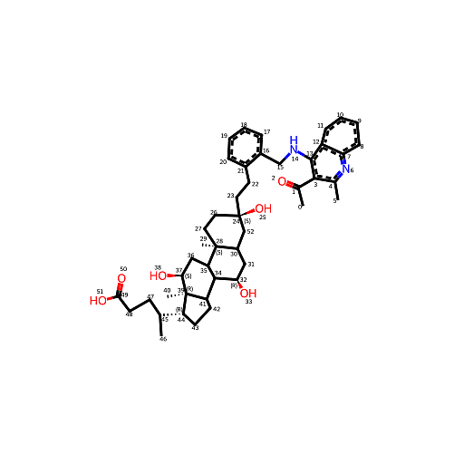 CC(=O)c1c(C)nc2ccccc2c1NCc1ccccc1CC[C@@]1(O)CC[C@@]2(C)C(C[C@@H](O)C3C2C[C@H](O)[C@@]2(C)C3CC[C@@H]2C(C)CCC(=O)O)C1